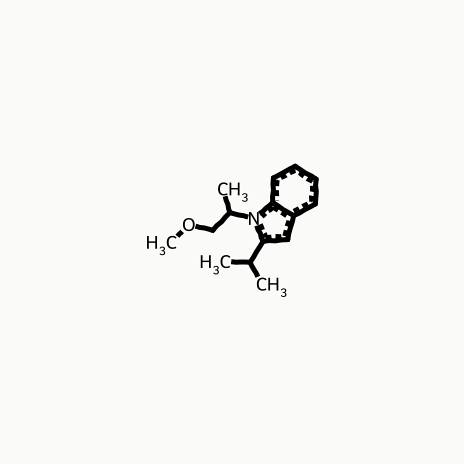 COCC(C)n1c(C(C)C)cc2ccccc21